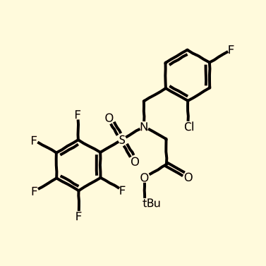 CC(C)(C)OC(=O)CN(Cc1ccc(F)cc1Cl)S(=O)(=O)c1c(F)c(F)c(F)c(F)c1F